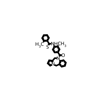 Cc1cc(C(=O)N2Cc3cccn3Cc3ccccc32)ccc1NC(=S)c1ccccc1C